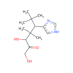 CC(C)(C)C(c1c[nH]cn1)C(C)(C)C(O)C(=O)CO